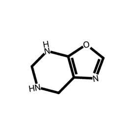 c1nc2c(o1)NCNC2